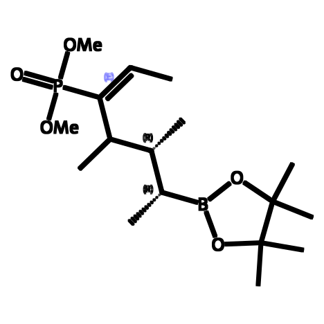 C/C=C(\C(C)[C@H](C)[C@@H](C)B1OC(C)(C)C(C)(C)O1)P(=O)(OC)OC